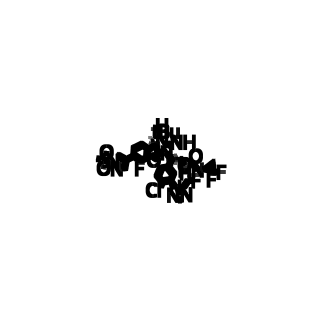 CC(C)(C)C[C@]1(c2ccc(-c3cnn(S(C)(=O)=O)c3)c(F)c2)NC(=N)N([C@H](COC(=O)NC2CC2(F)F)c2ccc(Cl)c(-n3ncnc3C(F)F)c2)C1=O